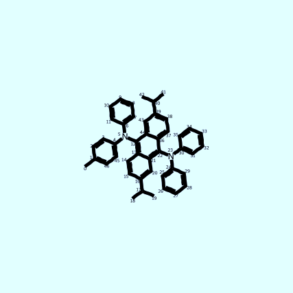 Cc1ccc(N(c2ccccc2)c2c3ccc(C(C)C)cc3c(N(c3ccccc3)c3ccccc3)c3ccc(C(C)C)cc23)cc1